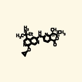 CC[C@](C)(N)c1cnc(OC2CC2)c2cnc(Nc3ccc4c(n3)[C@H](C)[C@H](C)OC4=O)cc12